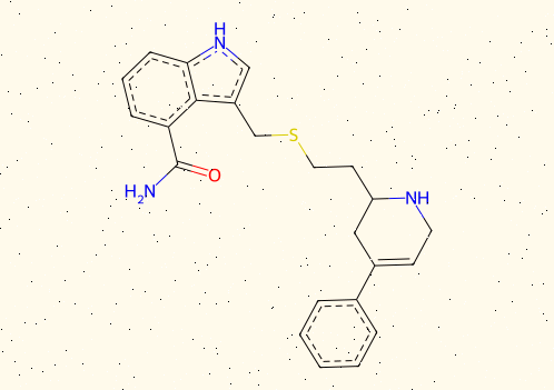 NC(=O)c1cccc2[nH]cc(CSCCC3CC(c4ccccc4)=CCN3)c12